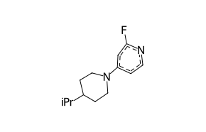 CC(C)C1CCN(c2ccnc(F)c2)CC1